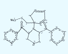 COCCC1(C2C(C(=O)c3ccccc3)CNCC2C(=O)c2ccccc2)C=CC=CC1